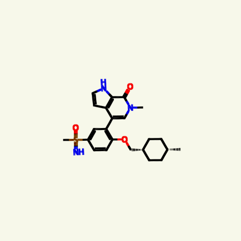 Cn1cc(-c2cc(S(C)(=N)=O)ccc2OC[C@H]2CC[C@@H](C)CC2)c2cc[nH]c2c1=O